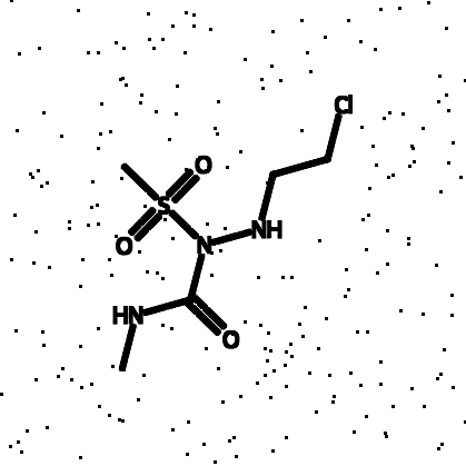 CNC(=O)N(NCCCl)S(C)(=O)=O